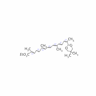 CCOC(=O)/C(C)=C/C=C/C(C)=C/C=C/C=C(C)/C=C/C=C(/C)C1OCC(C)(C)CO1